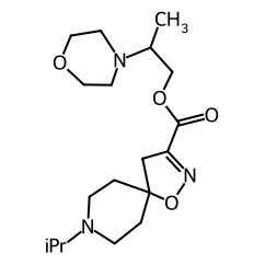 CC(C)N1CCC2(CC1)CC(C(=O)OCC(C)N1CCOCC1)=NO2